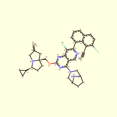 C#Cc1c(F)ccc2cccc(-c3ncc4c(N5CC6CCC(C5)N6)nc(OC[C@@]56CC[C@@H](C7CC7)N5CC(=C)C6)nc4c3F)c12